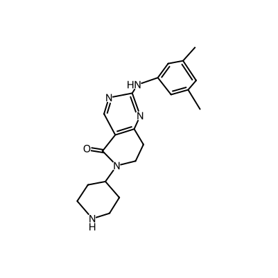 Cc1cc(C)cc(Nc2ncc3c(n2)CCN(C2CCNCC2)C3=O)c1